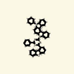 c1ccc(-c2nc(-c3cccc4oc5ccccc5c34)nc(-n3c4ccccc4c4c5c6ccccc6n(-c6ccccc6)c5ccc43)n2)cc1